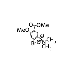 COC(=O)c1cc(S(=O)(=O)N(C)C)c(Br)cc1OC